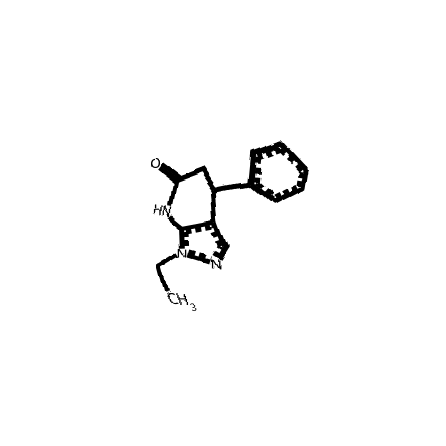 CCn1ncc2c1NC(=O)CC2c1ccccc1